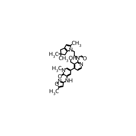 Cc1cc(Nc2cc(-c3ccnc(N(C=O)CCn4c(C)cc5c4CC(C)(C)C5)c3CO)cn(C)c2=O)no1